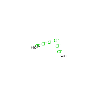 [Cl-].[Cl-].[Cl-].[Cl-].[Cl-].[Cl-].[Ho+3].[Y+3]